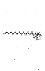 C=CCCCCCCCCCCCC[SiH2]OC(C)(OC)OC